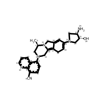 C[C@@H]1CN(c2ccc(C#N)c3ncccc23)CC2=C3CC=C(N4C[C@@H](N)[C@H](O)C4)C=C3CN21